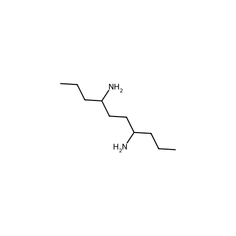 CCCC(N)CCC(N)CCC